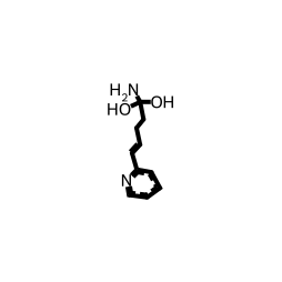 NC(O)(O)CCC=Cc1ccccn1